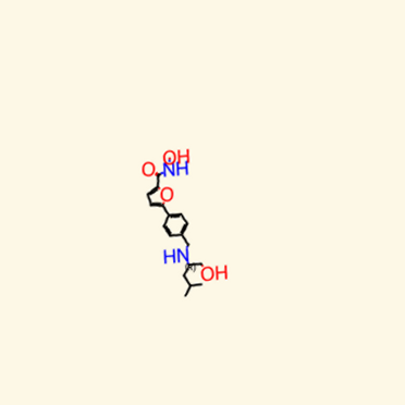 CC(C)C[C@H](CO)NCc1ccc(-c2ccc(C(=O)NO)o2)cc1